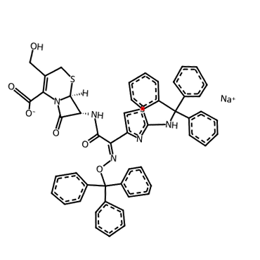 O=C([O-])C1=C(CO)CS[C@H]2[C@H](NC(=O)/C(=N\OC(c3ccccc3)(c3ccccc3)c3ccccc3)c3csc(NC(c4ccccc4)(c4ccccc4)c4ccccc4)n3)C(=O)N12.[Na+]